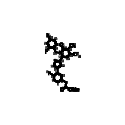 COC(=O)Cc1ccc(F)c(-c2csc(-c3cc(C(F)(F)F)c(C#N)c(=O)n3Cc3ccc(F)cc3F)c2)c1